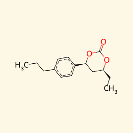 CCCc1ccc([C@@H]2C[C@H](CC)OC(=O)O2)cc1